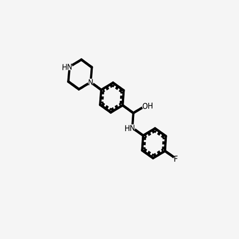 OC(Nc1ccc(F)cc1)c1ccc(N2CCNCC2)cc1